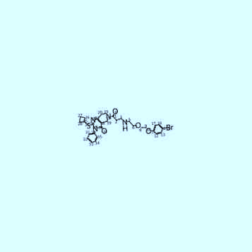 O=C(CCNCCOCCOc1ccc(Br)cc1)N1CCc2nc(SC3CCC3)n(-c3ccccc3)c(=O)c2C1